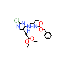 CCOC(C#Cc1cnc(Cl)nc1NCC(CC)NC(=O)OCc1ccccc1)OCC